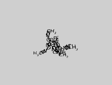 CCNC(=O)Nc1ncc(-c2cc(C(=O)OCCN3CCN(C)CC3)cnc2OCCN2CCN(C)CC2)c(-c2nc(C(F)(F)F)cs2)c1C(=O)OCCN1CCN(C)CC1